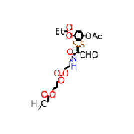 C=CC(=O)OCCCOC(=O)OCCCNC(=O)/C(C=O)=C1/Sc2c(OC(C)=O)ccc(OC(=O)CC)c2S1